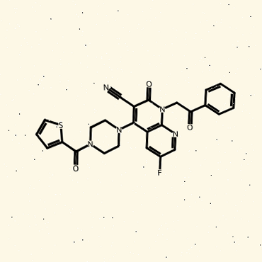 N#Cc1c(N2CCN(C(=O)c3cccs3)CC2)c2cc(F)cnc2n(CC(=O)c2ccccc2)c1=O